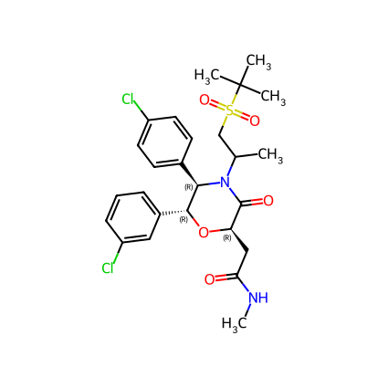 CNC(=O)C[C@H]1O[C@H](c2cccc(Cl)c2)[C@@H](c2ccc(Cl)cc2)N(C(C)CS(=O)(=O)C(C)(C)C)C1=O